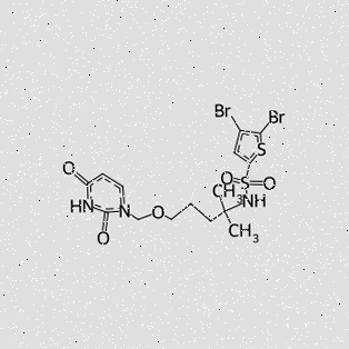 CC(C)(CCCOCn1ccc(=O)[nH]c1=O)NS(=O)(=O)c1cc(Br)c(Br)s1